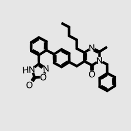 CCCCCc1nc(C)n(Cc2ccccc2)c(=O)c1Cc1ccc(-c2ccccc2-c2noc(=O)[nH]2)cc1